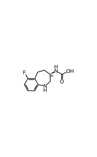 O=C(O)N[C@@H]1CCc2c(F)cccc2NC1